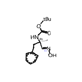 CC(C)(C)OC(=O)N[C@@](C)(/C=N/O)Cc1ccccc1